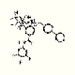 O=C(Nc1cc(F)c(F)c(F)c1)c1ccc(Cl)c(S(=O)(=O)[C@H]2C3CC[C@H]2C[C@](O)(/C=N/OCc2ccc(-c4ccccc4)cc2)C3)c1